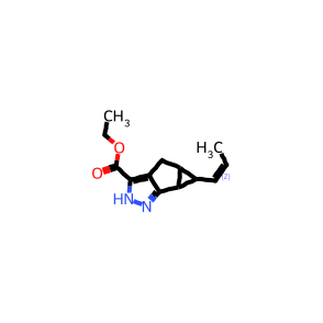 C/C=C\C1C2Cc3c(n[nH]c3C(=O)OCC)C12